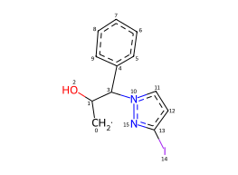 [CH2]C(O)C(c1ccccc1)n1ccc(I)n1